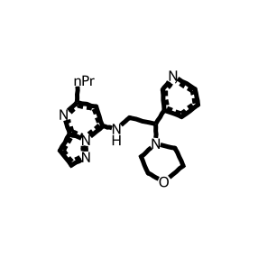 CCCc1cc(NCC(c2cccnc2)N2CCOCC2)n2nccc2n1